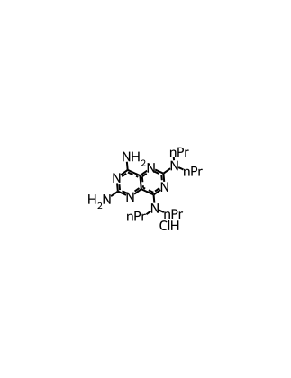 CCCN(CCC)c1nc(N(CCC)CCC)c2nc(N)nc(N)c2n1.Cl